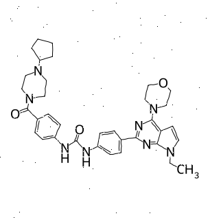 CCn1ccc2c(N3CCOCC3)nc(-c3ccc(NC(=O)Nc4ccc(C(=O)N5CCN(C6CCCC6)CC5)cc4)cc3)nc21